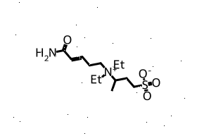 CC[N+](CC)(CCC=CC(N)=O)C(C)CCS(=O)(=O)[O-]